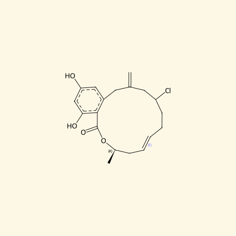 C=C1Cc2cc(O)cc(O)c2C(=O)O[C@H](C)C/C=C/CCC(Cl)C1